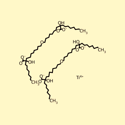 CCCCCCCCC(O)(CCCCCCCCOCCCCCCCCC(O)(CCCCCCCC)C(=O)[O-])C(=O)[O-].CCCCCCCCC(O)(CCCCCCCCOCCCCCCCCC(O)(CCCCCCCC)C(=O)[O-])C(=O)[O-].[Ti+4]